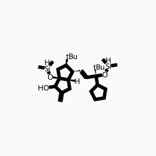 C=C1C[C@H]2[C@@H](C=C[C@@](O[SiH](C)C)(C3CCCC3)C(C)(C)C)[C@H](C(C)(C)C)C[C@@]2(O[SiH](C)C)C1O